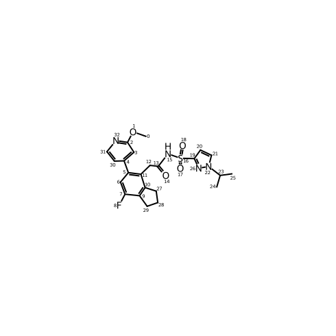 COc1cc(-c2cc(F)c3c(c2CC(=O)NS(=O)(=O)c2ccn(C(C)C)n2)CCC3)ccn1